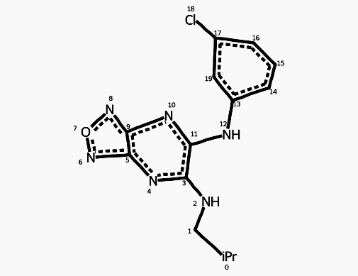 CC(C)CNc1nc2nonc2nc1Nc1cccc(Cl)c1